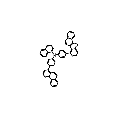 c1ccc2c(N(c3ccc(-c4cccc5c4ccc4ccccc45)cc3)c3ccc(-c4cccc5oc6c7ccccc7ccc6c45)cc3)cccc2c1